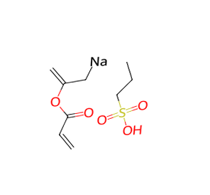 C=CC(=O)OC(=C)[CH2][Na].CCCS(=O)(=O)O